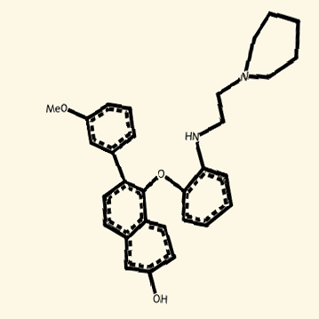 COc1cccc(-c2ccc3cc(O)ccc3c2Oc2ccccc2NCCN2CCCCC2)c1